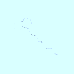 O=[C]/C=C/C=C/C=C/c1cccc2c1OCO2